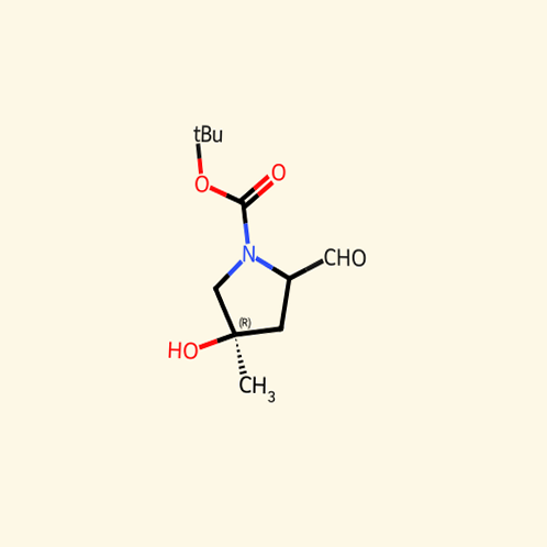 CC(C)(C)OC(=O)N1C[C@](C)(O)CC1C=O